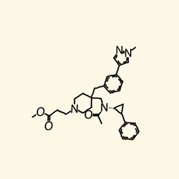 COC(=O)CCN1CCC(Cc2cccc(-c3cnn(C)c3)c2)(CN(C(C)=O)[C@@H]2CC2c2ccccc2)CC1